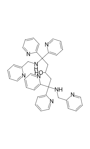 OC(CC(NCc1ccccn1)(c1ccccn1)c1ccccn1)CC(NCc1ccccn1)(c1ccccn1)c1ccccn1